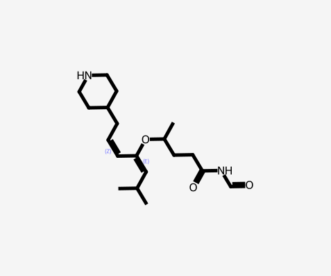 CC(C)/C=C(\C=C/CC1CCNCC1)OC(C)CCC(=O)NC=O